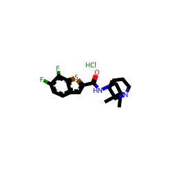 CC1(C)C(NC(=O)c2cc3ccc(F)c(F)c3s2)C2CCN1CC2.Cl